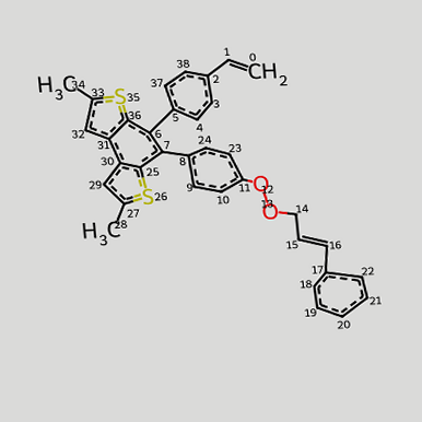 C=Cc1ccc(-c2c(-c3ccc(OOC/C=C/c4ccccc4)cc3)c3sc(C)cc3c3cc(C)sc23)cc1